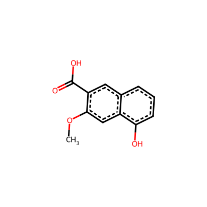 COc1cc2c(O)cccc2cc1C(=O)O